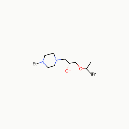 CCN1CCN(C[C@@H](O)COC(C)C(C)C)CC1